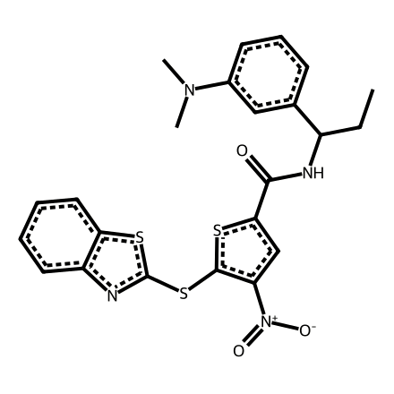 CCC(NC(=O)c1cc([N+](=O)[O-])c(Sc2nc3ccccc3s2)s1)c1cccc(N(C)C)c1